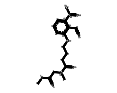 COC(=O)CN(C)C(=O)CCCOc1cccc([N+](=O)[O-])c1C=O